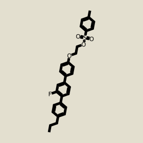 CCCc1ccc(-c2ccc(-c3ccc(OCCOS(=O)(=O)c4ccc(C)cc4)cc3)cc2F)cc1